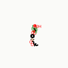 CCC(C)(C)C(=O)CC(=O)S(C)(C)c1ccc(OS(=O)(=O)C(F)(F)C(F)(F)C(F)(F)S(=O)(=O)O)cc1